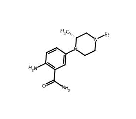 CCN1CCN(c2ccc(N)c(C(N)=O)c2)[C@H](C)C1